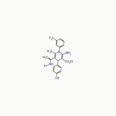 C=C(NCC)C1=C(C)N(c2cccc(C(F)(F)F)c2)C(N)=C(C(=O)OCC)C1c1ccc(C#N)cc1